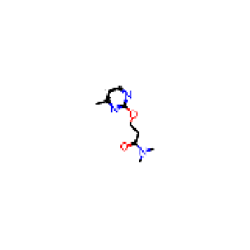 Cc1[c]cnc(OCCC(=O)N(C)C)n1